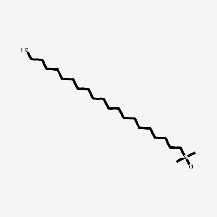 C[Si](C)(Cl)CCCCCCCCCCCCCCCCCCCCO